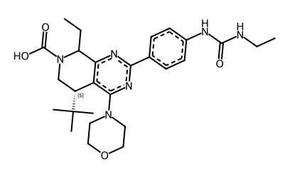 CCNC(=O)Nc1ccc(-c2nc3c(c(N4CCOCC4)n2)[C@H](C(C)(C)C)CN(C(=O)O)C3CC)cc1